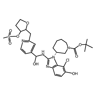 CC(C)(C)OC(=O)N1CCCC[C@@H](n2c(NC(O)c3ccnc(CC4OCCC4OS(C)(=O)=O)c3)nc3ccc(O)c(Cl)c32)C1